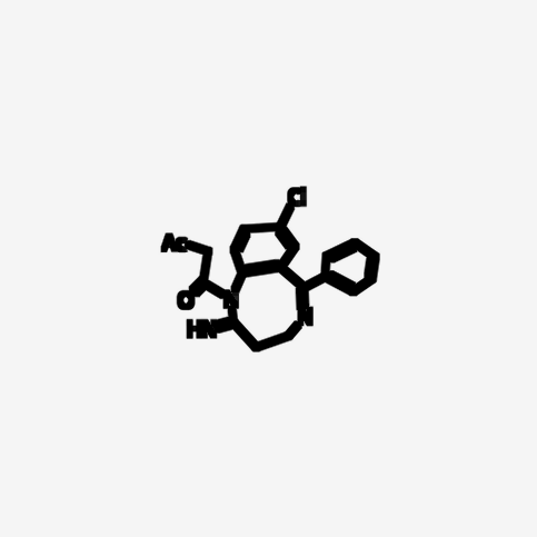 CC(=O)CC(=O)N1C(=N)CCN=C(c2ccccc2)c2cc(Cl)ccc21